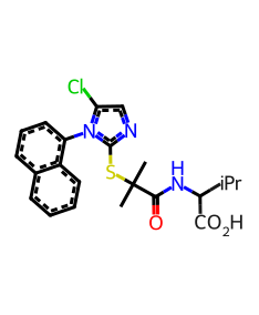 CC(C)C(NC(=O)C(C)(C)Sc1ncc(Cl)n1-c1cccc2ccccc12)C(=O)O